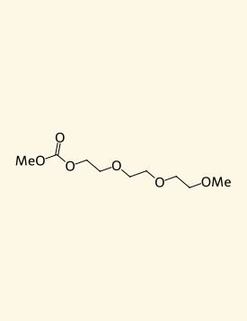 COCCOCCOCCOC(=O)OC